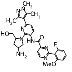 COc1cccc(F)c1-c1nccc(C(=O)Nc2ccc(-c3c(C)nn(C)c3C)nc2N2CC(N)CC2CO)n1